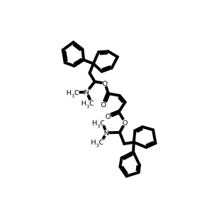 CN(C)C(CC1(c2ccccc2)C=CCC=C1)OC(=O)/C=C\C(=O)OC(CC1(c2ccccc2)C=CCC=C1)N(C)C